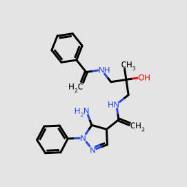 C=C(NCC(C)(O)CNC(=C)C1C=NN(c2ccccc2)C1N)c1ccccc1